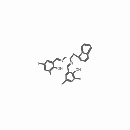 Oc1c(I)cc(I)cc1C=NC[C@H](Cc1cccc2ccccc12)N=Cc1cc(I)cc(I)c1O